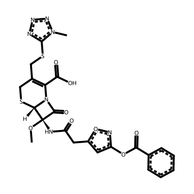 CO[C@@]1(NC(=O)Cc2cc(OC(=O)c3ccccc3)no2)C(=O)N2C(C(=O)O)=C(CSc3nnnn3C)CS[C@H]21